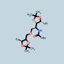 CCCCC(=O)N[C@@H](COCC1OC(C)(C)O[C@H]1CC)[C@@H]1OC(C)(C)O[C@@H]1CCC